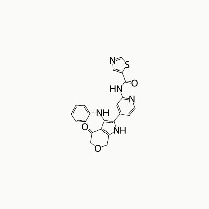 O=C(Nc1cc(-c2[nH]c3c(c2Nc2ccccc2)C(=O)COC3)ccn1)c1cncs1